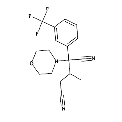 CC(CC#N)C(C#N)(c1cccc(C(F)(F)F)c1)N1CCOCC1